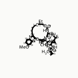 CC[C@H]1CCCCCc2nc3ccc(OC)cc3nc2O[C@H]2CN(C(=O)[C@H](C(C)(C)C)NC(=O)OC1)[C@H](C(=O)N[C@]1(C(=O)NS(=O)(=O)C3(C)CC3)CC1C(F)F)[C@@H]2C